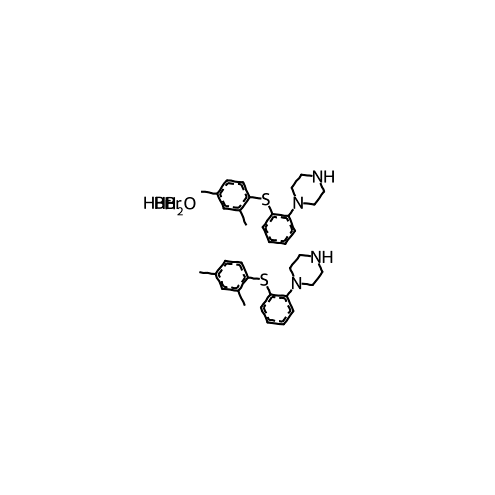 Br.Br.Cc1ccc(Sc2ccccc2N2CCNCC2)c(C)c1.Cc1ccc(Sc2ccccc2N2CCNCC2)c(C)c1.O